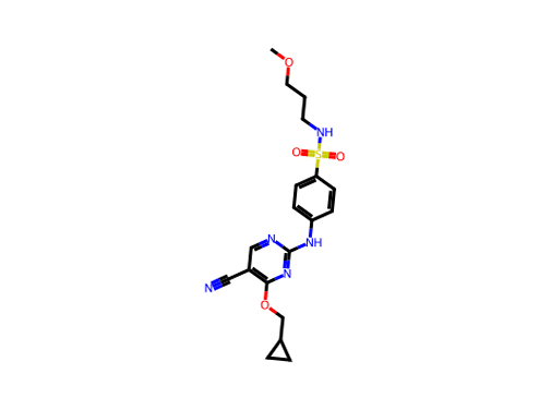 COCCCNS(=O)(=O)c1ccc(Nc2ncc(C#N)c(OCC3CC3)n2)cc1